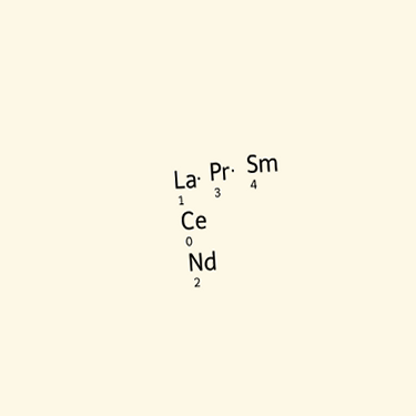 [Ce].[La].[Nd].[Pr].[Sm]